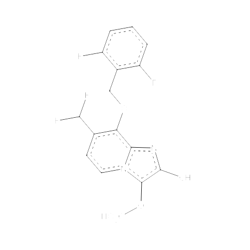 Cc1nc2c(OCc3c(F)cccc3F)c(C(F)F)ccn2c1OC(=O)O